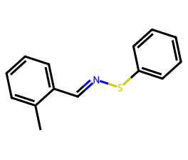 Cc1ccccc1C=NSc1ccccc1